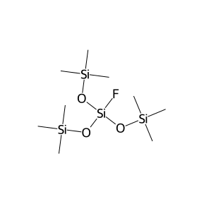 C[Si](C)(C)O[Si](F)(O[Si](C)(C)C)O[Si](C)(C)C